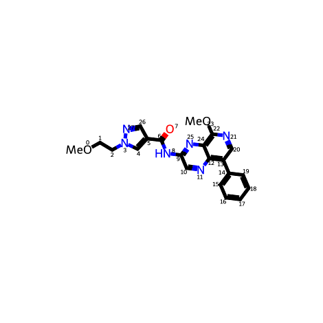 COCCn1cc(C(=O)Nc2cnc3c(-c4ccccc4)cnc(OC)c3n2)cn1